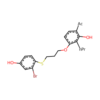 CCCc1c(OCCCSc2ccc(O)cc2Br)ccc(C(C)=O)c1O